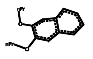 CCCOc1[c]c2ccccc2cc1OCCC